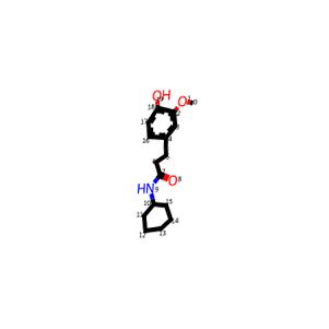 COc1cc(CCC(=O)NC2CCCCC2)ccc1O